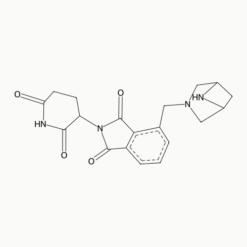 O=C1CCC(N2C(=O)c3cccc(CN4CC5CC(C4)N5)c3C2=O)C(=O)N1